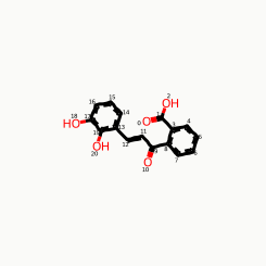 O=C(O)c1ccccc1C(=O)/C=C/c1cccc(O)c1O